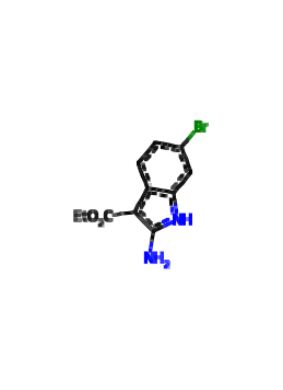 CCOC(=O)c1c(N)[nH]c2cc(Br)ccc12